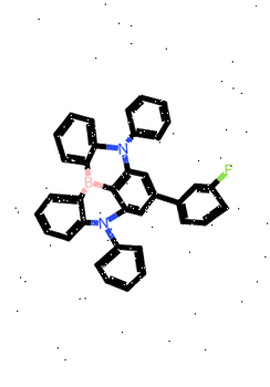 Fc1cccc(-c2cc3c4c(c2)N(c2ccccc2)c2ccccc2B4c2ccccc2N3c2ccccc2)c1